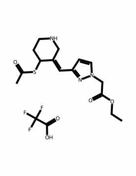 CCOC(=O)Cn1ccc(/C=C2\CNCCC2SC(C)=O)n1.O=C(O)C(F)(F)F